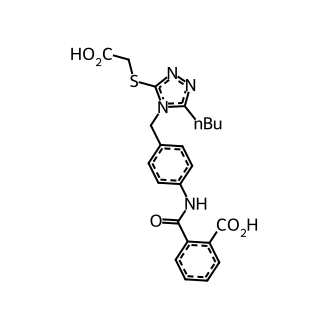 CCCCc1nnc(SCC(=O)O)n1Cc1ccc(NC(=O)c2ccccc2C(=O)O)cc1